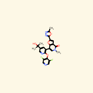 Cc1nnc(-c2cc3c(=O)n(C)cc(-c4cc(C(C)(C)O)cnc4Oc4c(F)cncc4F)c3o2)o1